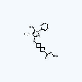 Cc1c(OC2CC3(C2)CN(C(=O)OC(C)(C)C)C3)nn(-c2ccccc2)c1N